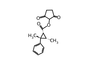 C[C@H]1[C@@H](C(=O)OC2C(=O)CCC2=O)[C@@]1(C)c1ccccc1